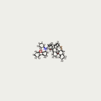 c1ccc(N(c2ccc(-c3cccc4c3C3(c5cc6ccccc6cc5S4)c4ccccc4-c4ccccc43)cc2)c2cccc3c2oc2ccccc23)cc1